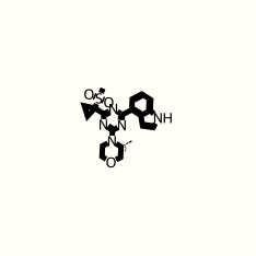 C[C@@H]1COCCN1c1nc(-c2cccc3[nH]ccc23)nc(C2(S(C)(=O)=O)CC2)n1